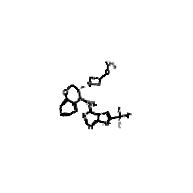 COC1CN([C@H]2COc3ccccc3[C@@H]2Nc2ncnc3[nH]c(C(F)(F)F)cc23)C1